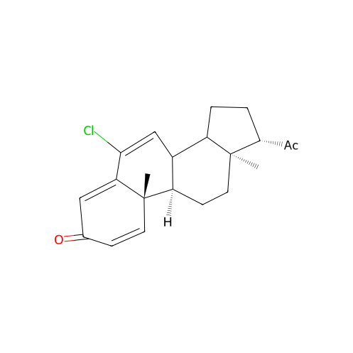 CC(=O)[C@H]1CCC2C3C=C(Cl)C4=CC(=O)C=C[C@@]4(C)[C@@H]3CC[C@@]21C